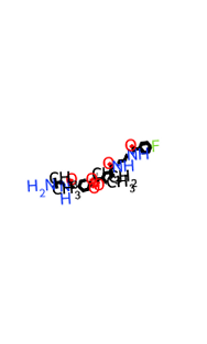 C=C(CC(CC)[C@@]1(C)OO[C@]2(CC[C@@H](CC(=O)NCC(C)(C)N)CC2)O1)C(=O)NCCCNC(=O)c1ccc(F)cc1